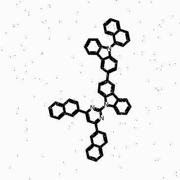 c1ccc2cc(-c3cc(-c4ccc5ccccc5c4)nc(-n4c5ccccc5c5cc(-c6ccc7c(c6)c6ccccc6n7-c6cccc7ccccc67)ccc54)n3)ccc2c1